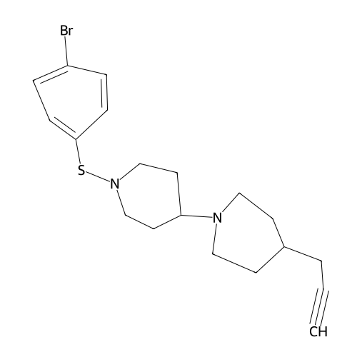 C#CCC1CCN(C2CCN(Sc3ccc(Br)cc3)CC2)CC1